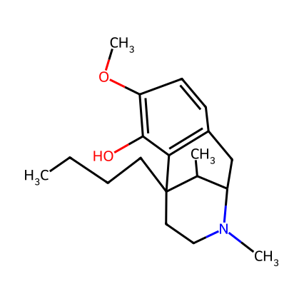 CCCCC12CCN(C)C(Cc3ccc(OC)c(O)c31)C2C